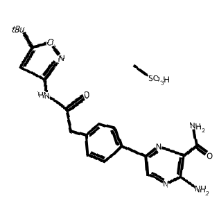 CC(C)(C)c1cc(NC(=O)Cc2ccc(-c3cnc(N)c(C(N)=O)n3)cc2)no1.CS(=O)(=O)O